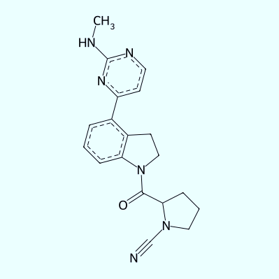 CNc1nccc(-c2cccc3c2CCN3C(=O)C2CCCN2C#N)n1